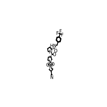 N#CC1CN(S(=O)(=O)N2CC[C@H](C(=O)N3CCC[C@@H]3C(=O)NCc3ccc(C(F)(F)F)cc3)C2)C1